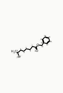 CC(Br)CCCCCC(=O)OCc1ccccc1